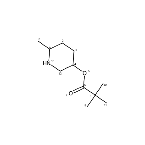 CC1CCC(OC(=O)C(C)(C)C)CN1